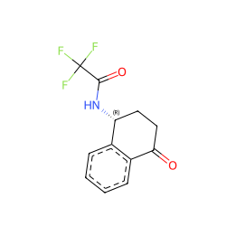 O=C1CC[C@@H](NC(=O)C(F)(F)F)c2ccccc21